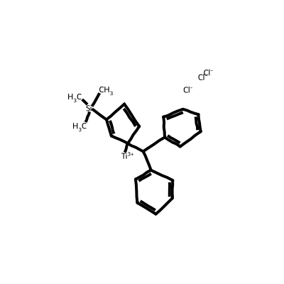 C[Si](C)(C)C1=C[C]([Ti+3])(C(c2ccccc2)c2ccccc2)C=C1.[Cl-].[Cl-].[Cl-]